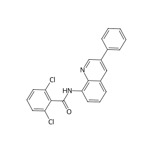 O=C(Nc1cccc2cc(-c3ccccc3)cnc12)c1c(Cl)cccc1Cl